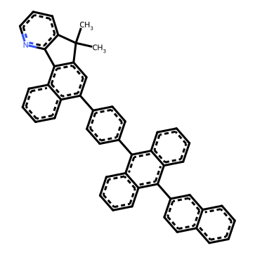 CC1(C)c2cccnc2-c2c1cc(-c1ccc(-c3c4ccccc4c(-c4ccc5ccccc5c4)c4ccccc34)cc1)c1ccccc21